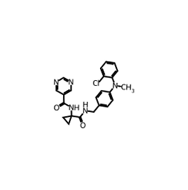 CN(c1ccc(CNC(=O)C2(NC(=O)c3cncnc3)CC2)cc1)c1ccccc1Cl